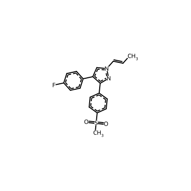 CC=Cn1cc(-c2ccc(F)cc2)c(-c2ccc(S(C)(=O)=O)cc2)n1